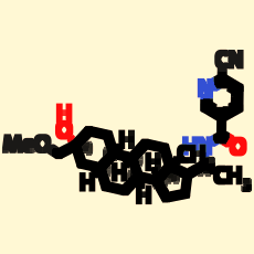 COC[C@@]1(O)CC[C@H]2[C@H](CC[C@@H]3[C@@H]2CC[C@]2(C)C([C@H](C)NC(=O)c4ccc(C#N)nc4)CC[C@@H]32)C1